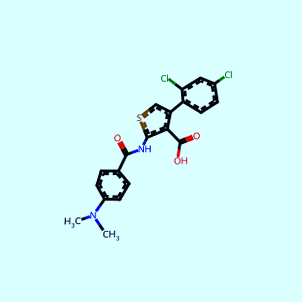 CN(C)c1ccc(C(=O)Nc2scc(-c3ccc(Cl)cc3Cl)c2C(=O)O)cc1